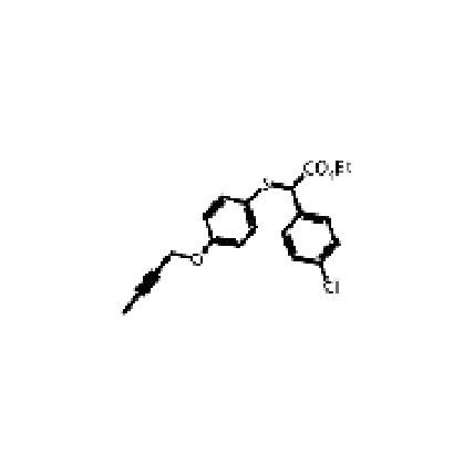 CC#CCOc1ccc(SC(C(=O)OCC)c2ccc(Cl)cc2)cc1